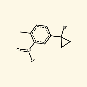 Cc1ccc(C2(Br)CC2)cc1[N+](=O)[O-]